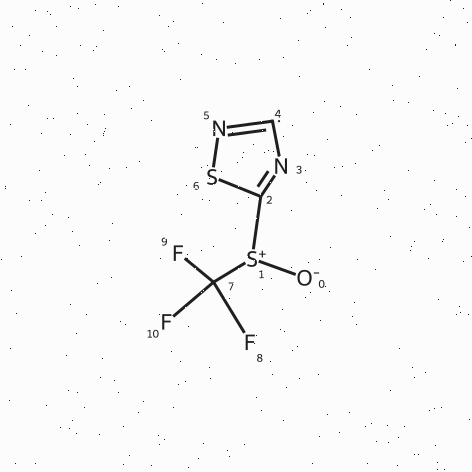 [O-][S+](c1n[c]ns1)C(F)(F)F